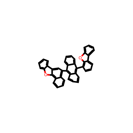 c1ccc2c(c1)oc1c(-c3c4ccccc4c(-c4cc5c6ccccc6oc5c5ccccc45)c4ccccc34)cccc12